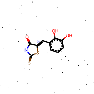 O=C1NC(=S)S/C1=C\c1cccc(O)c1O